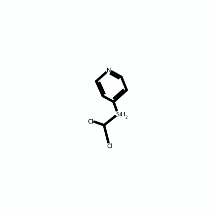 ClC(Cl)[SiH2]c1ccncc1